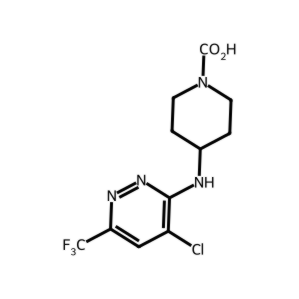 O=C(O)N1CCC(Nc2nnc(C(F)(F)F)cc2Cl)CC1